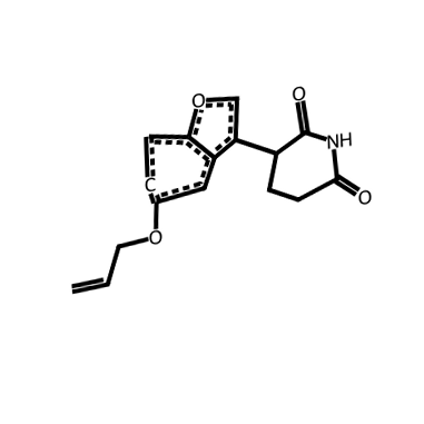 C=CCOc1ccc2occ(C3CCC(=O)NC3=O)c2c1